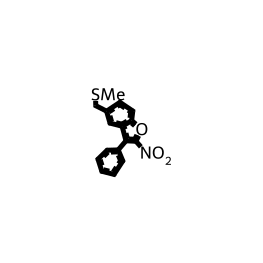 CSCc1ccc2oc([N+](=O)[O-])c(-c3ccccc3)c2c1